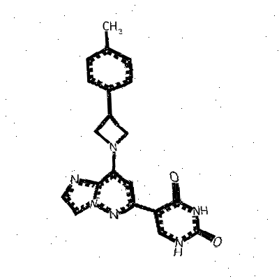 Cc1ccc(C2CN(c3cc(-c4c[nH]c(=O)[nH]c4=O)nn4ccnc34)C2)cc1